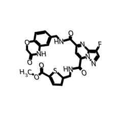 COC(=O)C1=CCC(CNC(=O)c2cc(C(=O)NCc3ccc4c(c3)NC(=O)CO4)nc3c(F)cnn23)S1